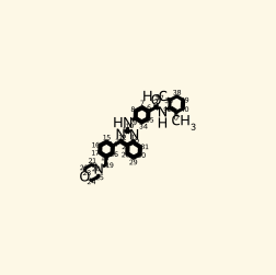 CC1=C(NC(=O)c2ccc(Nc3nc(-c4cccc(CN5CCOCC5)c4)c4ccccc4n3)cc2)C(C)CC=C1